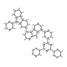 c1ccc(-c2nc(-c3ccccc3)nc(-c3cccc(-c4cccc5c4sc4cccc(-c6ccc7c8ccccc8n(-c8ccccc8)c7c6)c45)c3)n2)cc1